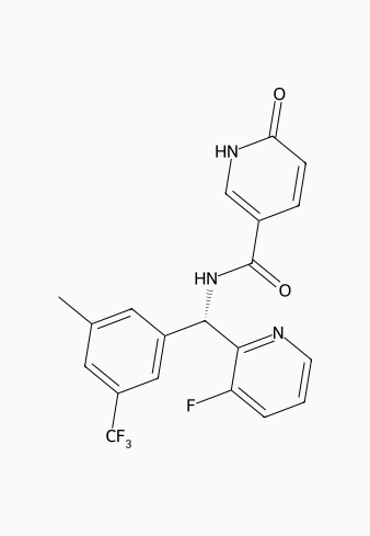 Cc1cc([C@H](NC(=O)c2ccc(=O)[nH]c2)c2ncccc2F)cc(C(F)(F)F)c1